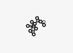 c1ccc(-c2nnc(-c3cccc4c5ccccc5n(-c5cccc(-c6cccc(-n7c8ccccc8c8cc9oc%10ccccc%10c9cc87)c6)c5)c34)n2-c2ccccc2)cc1